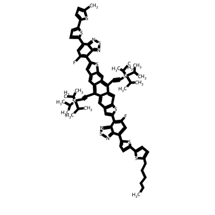 CCCCCCc1ccc(-c2ccc(-c3cc(F)c(-c4cc5cc6c(C#C[Si](C(C)C)(C(C)C)C(C)C)c7cc8cc(-c9c(F)cc(-c%10ccc(-c%11ccc(C)s%11)s%10)c%10nsnc9%10)sc8cc7c(C#C[Si](C(C)C)(C(C)C)C(C)C)c6cc5s4)c4nsnc34)s2)s1